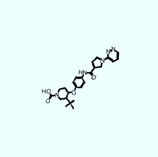 CC(C)(C)C1CN(C(=O)O)CCC1Oc1ccc(NC(=O)C2CCN(c3cccnn3)C2)cc1